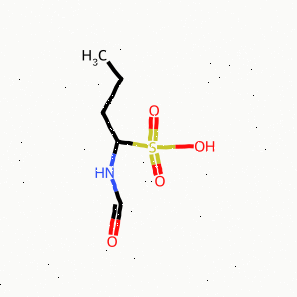 CCCC(NC=O)S(=O)(=O)O